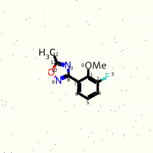 COc1c(F)cccc1-c1noc(C)n1